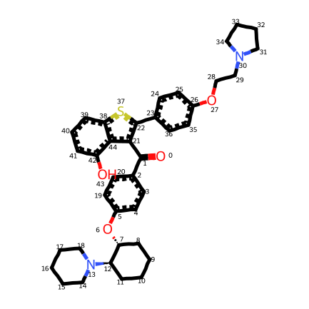 O=C(c1ccc(O[C@@H]2CCCC[C@H]2N2CCCCC2)cc1)c1c(-c2ccc(OCCN3CCCC3)cc2)sc2cccc(O)c12